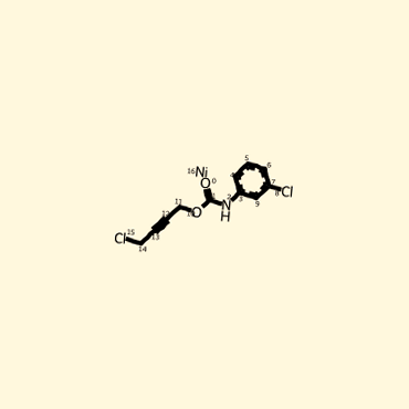 O=C(Nc1cccc(Cl)c1)OCC#CCCl.[Ni]